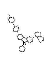 Cc1ccc(-c2ccc(-c3ccc4c(c3)c3cc(-c5cccc6ccccc56)ccc3n4-c3ccccc3)cc2)cc1